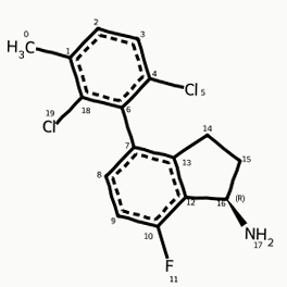 Cc1ccc(Cl)c(-c2ccc(F)c3c2CC[C@H]3N)c1Cl